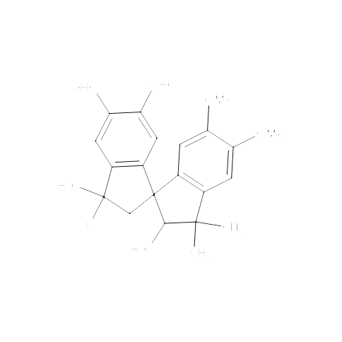 COc1cc2c(cc1OC)C1(CC(C)(C)c3cc(C=O)c(C=O)cc31)C(C)C2(C)C